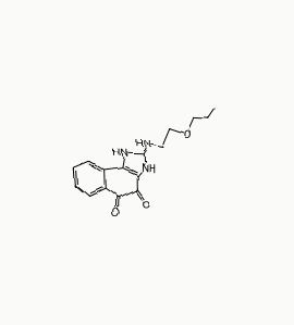 CCCOCCNC1NC2=C(N1)c1ccccc1C(=O)C2=O